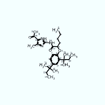 CCCCC(Oc1ccc(C(C)(C)CC)cc1C(C)(C)CC)C(=O)Nc1nc(C)c(C(C)=O)[nH]1